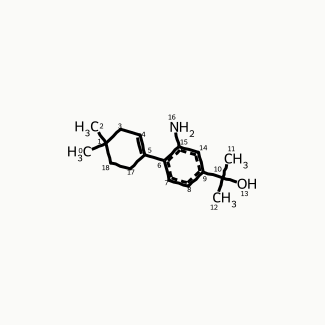 CC1(C)CC=C(c2ccc(C(C)(C)O)cc2N)CC1